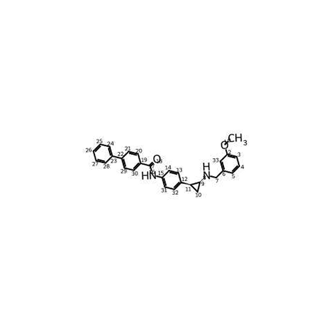 COc1cccc(CN[C@@H]2C[C@H]2c2ccc(NC(=O)c3ccc(-c4ccccc4)cc3)cc2)c1